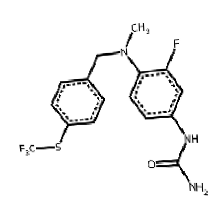 CN(Cc1ccc(SC(F)(F)F)cc1)c1ccc(NC(N)=O)cc1F